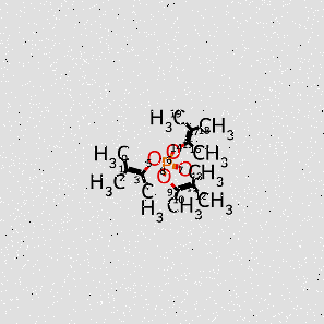 CC(C)=C(C)OP(=O)(OC(C)=C(C)C)OC(C)=C(C)C